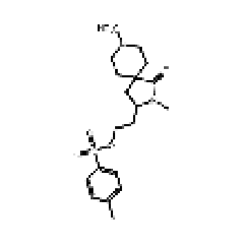 Cc1ccc(S(=O)(=O)OCCC2CC3(CCN(C(=O)O)CC3)C(=O)N2C)cc1